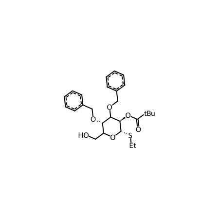 CCS[C@@H]1OC(CO)[C@H](OCc2ccccc2)C(OCc2ccccc2)[C@H]1OC(=O)C(C)(C)C